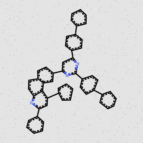 c1ccc(-c2ccc(-c3cc(-c4ccc5ccc6nc(-c7ccccc7)cc(-c7ccccc7)c6c5c4)nc(-c4ccc(-c5ccccc5)cc4)n3)cc2)cc1